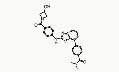 CN(C)C(=O)c1ccc(-c2cccn3nc(Nc4ccc(C(=O)N5CC(O)C5)cc4)nc23)cc1